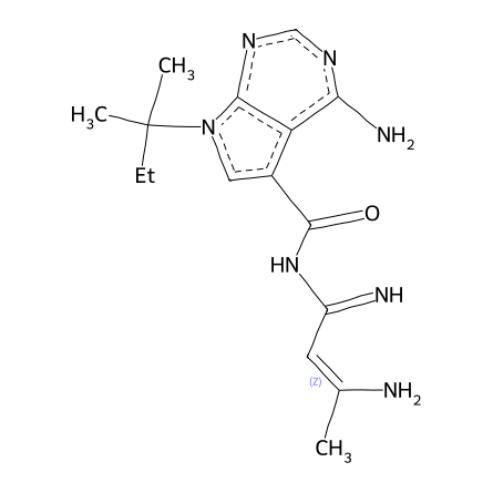 CCC(C)(C)n1cc(C(=O)NC(=N)/C=C(/C)N)c2c(N)ncnc21